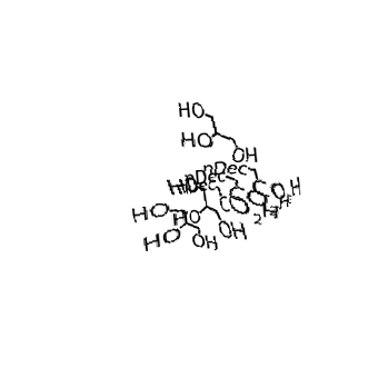 CCCCCCCCCCCC(=O)O.CCCCCCCCCCCC(=O)O.CCCCCCCCCCCC(=O)O.OCC(O)CO.OCC(O)CO.OCC(O)CO